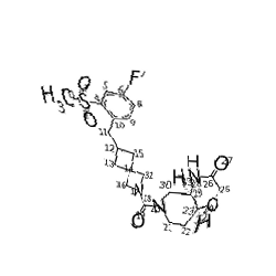 CS(=O)(=O)c1cc(F)ccc1CC1CC2(C1)CN(C(=O)N1CC[C@@H]3OCC(=O)N[C@@H]3C1)C2